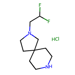 Cl.FC(F)CN1CCC2(CCNCC2)C1